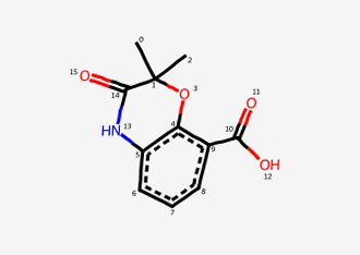 CC1(C)Oc2c(cccc2C(=O)O)NC1=O